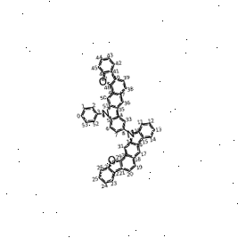 c1ccc(-n2c3ccc(-n4c5ccccc5c5cc6ccc7c8ccccc8oc7c6cc54)cc3c3cc4ccc5c6ccccc6oc5c4cc32)cc1